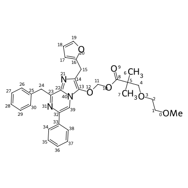 COCCOCC(C)(C)C(=O)OCOc1c(Cc2ccco2)nc2c(Cc3ccccc3)nc(-c3ccccc3)cn12